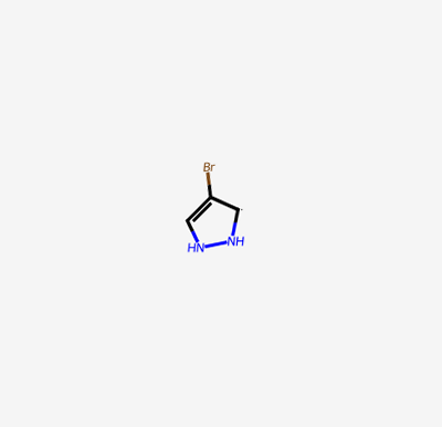 BrC1=CNN[CH]1